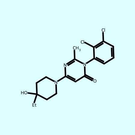 CCC1(O)CCN(c2cc(=O)n(-c3cccc(Cl)c3Cl)c(C)n2)CC1